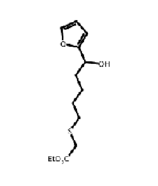 CCOC(=O)CSCCCCC(O)c1ccco1